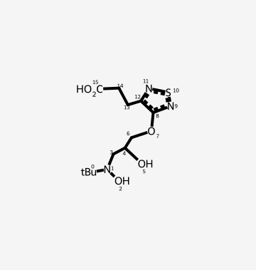 CC(C)(C)N(O)CC(O)COc1nsnc1CCC(=O)O